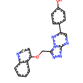 Oc1ccc(-c2cnc3nnc(COc4ccnc5ccccc45)n3n2)cc1